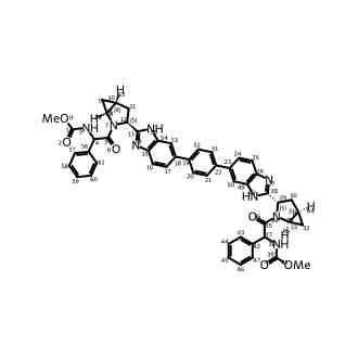 COC(=O)NC(C(=O)N1[C@@H]2C[C@@H]2C[C@H]1c1nc2ccc(-c3ccc(-c4ccc5nc([C@@H]6C[C@H]7C[C@H]7N6C(=O)C(NC(=O)OC)c6ccccc6)[nH]c5c4)cc3)cc2[nH]1)c1ccccc1